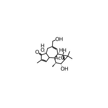 CC(=O)O[C@@]12[C@H](O)[C@@H](C)C3C4C=C(C)C(=O)[C@@]4(O)CC(CO)=C[C@H]3[C@@H]1C2(C)C